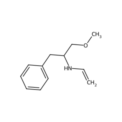 C=CNC(COC)Cc1ccccc1